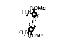 COC(=O)c1cc(F)c(OCCOc2cc([N+](=O)[O-])c(C(=O)OC)cc2F)cc1N